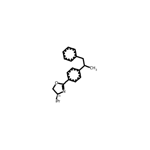 CC(Cc1ccccc1)c1ccc(C2=N[C@@H](C(C)C)CO2)cc1